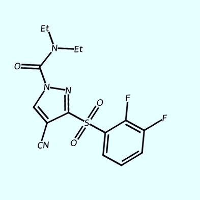 CCN(CC)C(=O)n1cc(C#N)c(S(=O)(=O)c2cccc(F)c2F)n1